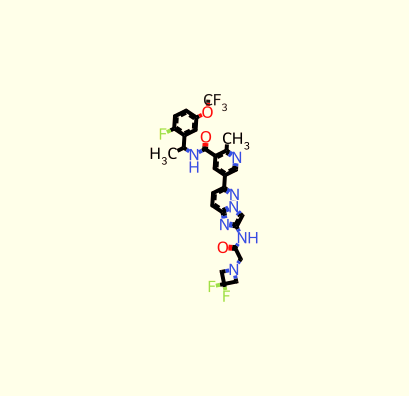 Cc1ncc(-c2ccc3nc(NC(=O)CN4CC(F)(F)C4)cn3n2)cc1C(=O)NC(C)c1cc(OC(F)(F)F)ccc1F